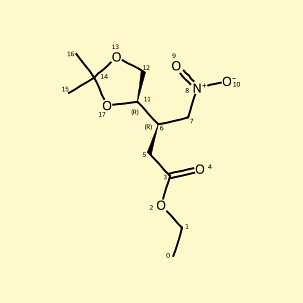 CCOC(=O)C[C@H](C[N+](=O)[O-])[C@@H]1COC(C)(C)O1